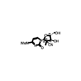 CNc1ccn([C@@H]2O[C@H](CO)[C@@H](O)[C@@]2(C)C#N)c(=O)n1